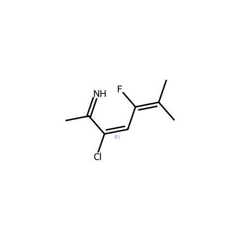 CC(=N)/C(Cl)=C\C(F)=C(C)C